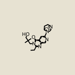 CCc1nc2cnc(N3CCN4CCC3CC4)cc2c(=O)n1CC(C)(C)CO